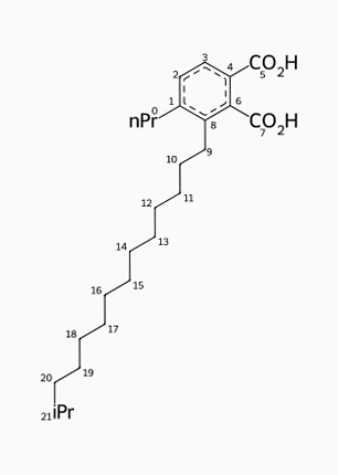 CCCc1ccc(C(=O)O)c(C(=O)O)c1CCCCCCCCCCCCC(C)C